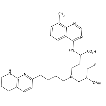 COC(CF)CN(CCCCc1ccc2c(n1)NCCC2)CCC(Nc1ncnc2c(C)cccc12)C(=O)O